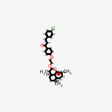 C[C@H]1[C@@H](OCCOc2ccc(C(=O)/C=C/c3ccc(Cl)cc3)cc2)O[C@@H]2O[C@]3(C)CC[C@H]4[C@H](C)CC[C@@H]1[C@@]24OO3